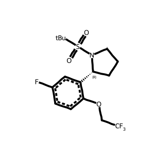 CC(C)(C)S(=O)(=O)N1[CH]CC[C@@H]1c1cc(F)ccc1OCC(F)(F)F